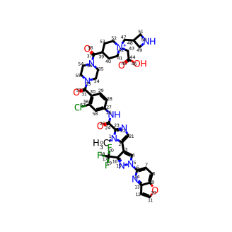 Cn1c(-c2cn(-c3ccc4occc4n3)nc2C(F)(F)F)cnc1C(=O)Nc1ccc(C(=O)N2CCN(C(=O)C3CC[N+](CC(=O)O)(CC4CNC4)CC3)CC2)c(Cl)c1